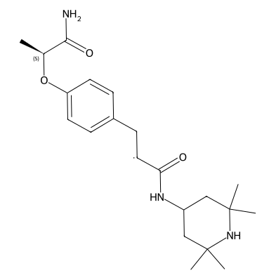 C[C@H](Oc1ccc(C[CH]C(=O)NC2CC(C)(C)NC(C)(C)C2)cc1)C(N)=O